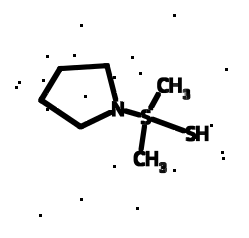 CS(C)(S)N1CCCC1